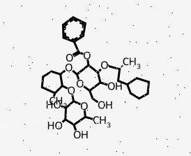 CC1CCCC(OC2OC(CO)C(O)C(O[C@H](C)CC3CCCCC3)C2OC(=O)c2ccccc2)C1OC1OC(C)C(O)C(O)C1O